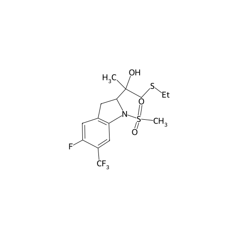 CCSCC(C)(O)C1Cc2cc(F)c(C(F)(F)F)cc2N1S(C)(=O)=O